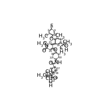 Cc1cc(F)cc(C)c1Oc1ccc(C(C)(C)O)cc1-c1cn(C)c(=O)cc1O[C@H]1CC[C@H](NC(=O)C23CCC(N(C(=O)O)C(C)(C)C)(C2)C3)CC1